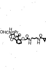 CCCC(C(=O)NC=O)N1C(=O)c2cccc(OCC(=O)NCCCNC(=O)C3CC3)c2C1=O